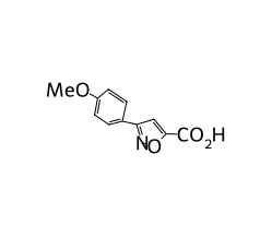 COc1ccc(-c2cc(C(=O)O)on2)cc1